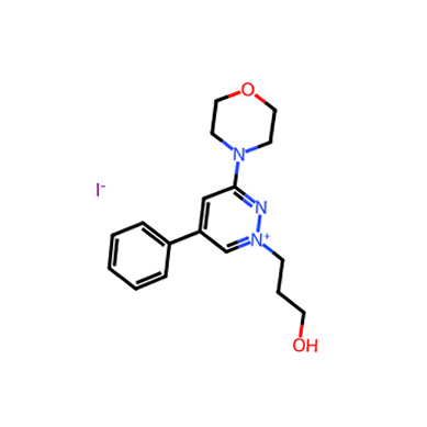 OCCC[n+]1cc(-c2ccccc2)cc(N2CCOCC2)n1.[I-]